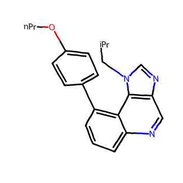 CCCOc1ccc(-c2cccc3ncc4ncn(CC(C)C)c4c23)cc1